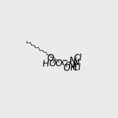 CCCCCCCCCCCCCOCC(O)COc1ccc(-c2nc(Cl)nc(Cl)n2)c(O)c1